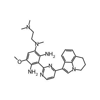 COc1cc(N(C)CCN(C)C)c(N)c(-c2nccc(-c3cn4c5c(cccc35)CCC4)n2)c1N